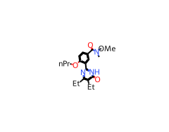 CCCOc1ccc(C(=O)N(C)OC)cc1-c1nc(CC)c(CC)c(=O)[nH]1